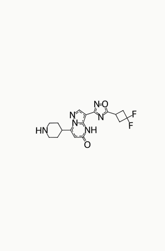 O=c1cc(C2CCNCC2)n2ncc(-c3noc(C4CC(F)(F)C4)n3)c2[nH]1